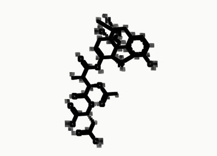 CC(=O)O[C@@H](C(=O)O[C@H](CC(=O)O)C(=O)O)[C@@H](C)C(=O)OC1=CC[C@@]2(O)[C@H]3Cc4ccc(O)c5c4[C@@]2(CCN3C)[C@H]1O5